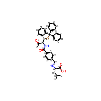 CC(=O)C(CSC(c1ccccc1)(c1ccccc1)c1ccccc1)NC(=O)c1ccc(CN[C@@H](CC(C)C)C(=O)O)cc1